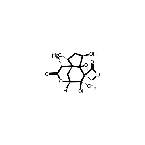 C[C@@H]1C[C@@H](O)[C@@]2(O)[C@@]13C[C@@H](OC(=O)[C@@H]3O)[C@](C)(O)[C@@]21COC1=O